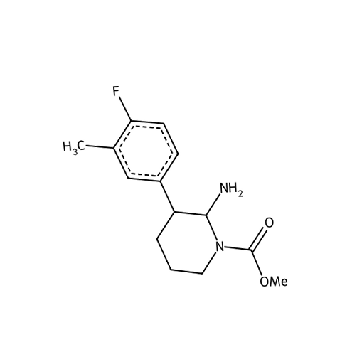 COC(=O)N1CCCC(c2ccc(F)c(C)c2)C1N